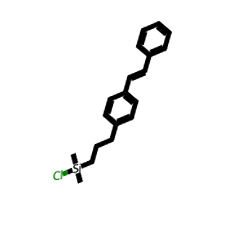 C[Si](C)(Cl)CCCc1ccc(C=Cc2ccccc2)cc1